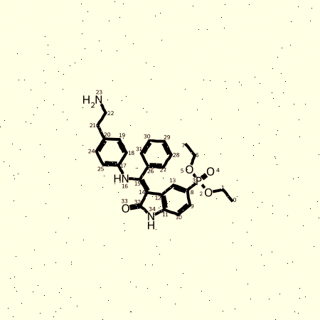 CCOP(=O)(OCC)c1ccc2c(c1)/C(=C(/Nc1ccc(CCN)cc1)c1ccccc1)C(=O)N2